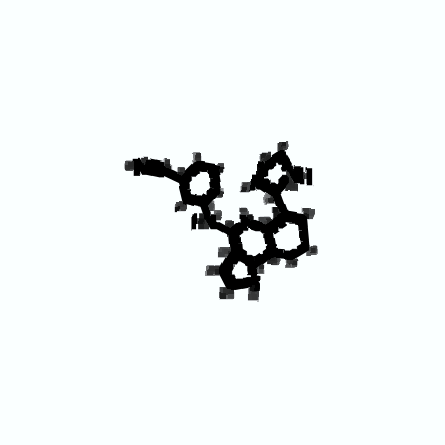 N#Cc1cccc(Nc2nc3c(-c4nnc[nH]4)cccc3c3sccc23)c1